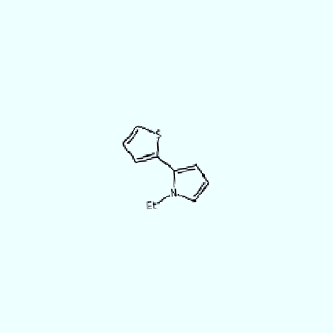 CCn1cccc1-c1cccs1